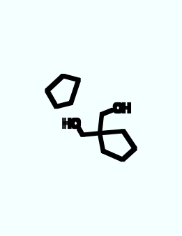 C1CCCC1.OCC1(CO)CCCC1